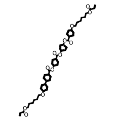 C=CC(=O)OCCCCCCOc1ccc(C(=O)Oc2ccc(OC(=O)c3ccc(OC(=O)c4ccc(-c5ccc(OCCCCCCOC(=O)C=C)cc5)cc4)cc3)cc2)cc1